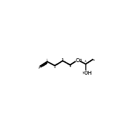 C=CCCCOC(C)O